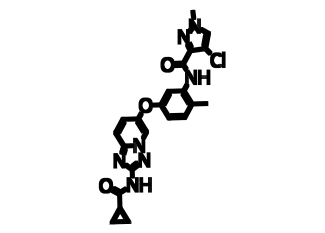 Cc1ccc(Oc2ccc3nc(NC(=O)C4CC4)nn3c2)cc1NC(=O)c1nn(C)cc1Cl